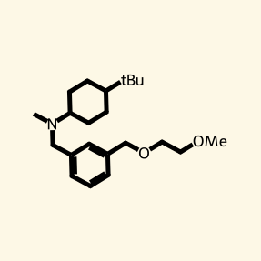 COCCOCc1cccc(CN(C)C2CCC(C(C)(C)C)CC2)c1